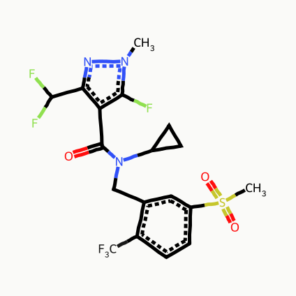 Cn1nc(C(F)F)c(C(=O)N(Cc2cc(S(C)(=O)=O)ccc2C(F)(F)F)C2CC2)c1F